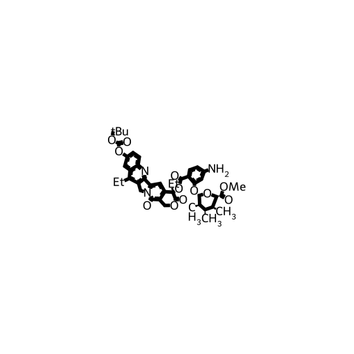 CCc1c2c(nc3ccc(OC(=O)OC(C)(C)C)cc13)-c1cc3c(c(=O)n1C2)COC(=O)[C@@]3(CC)OC(=O)c1ccc(N)cc1O[C@@H]1O[C@H](C(=O)OC)[C@@H](C)[C@H](C)[C@H]1C